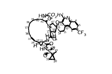 Cc1nc2ccc(C(F)(F)F)cc2c2c1O[C@]1(CC2)C[C@H]2C(=O)N[C@]3(C(=O)NS(=O)(=O)C4(C)CC4)C[C@H]3C=CCCCCC[C@H](NC(=O)O)C(=O)N2C1